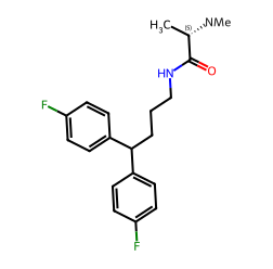 CN[C@@H](C)C(=O)NCCCC(c1ccc(F)cc1)c1ccc(F)cc1